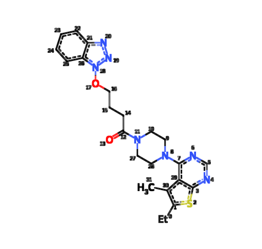 CCc1sc2ncnc(N3CCN(C(=O)CCCOn4nnc5ccccc54)CC3)c2c1C